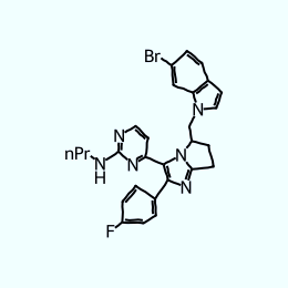 CCCNc1nccc(-c2c(-c3ccc(F)cc3)nc3n2C(Cn2ccc4ccc(Br)cc42)CC3)n1